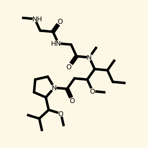 CCC(C)C(C(CC(=O)N1CCCC1C(OC)C(C)C)OC)N(C)C(=O)CNC(=O)CNC